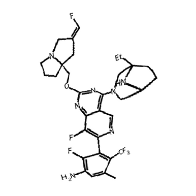 CCC12CCC(CN(c3nc(OC[C@@]45CCCN4C/C(=C\F)C5)nc4c(F)c(-c5c(F)c(N)cc(C)c5C(F)(F)F)ncc34)C1)N2